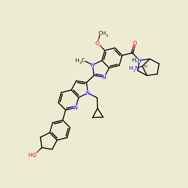 COc1cc(C(=O)N2CC3CCC2[C@@H]3N)cc2nc(-c3cc4ccc(-c5ccc6c(c5)CC(O)C6)nc4n3CC3CC3)n(C)c12